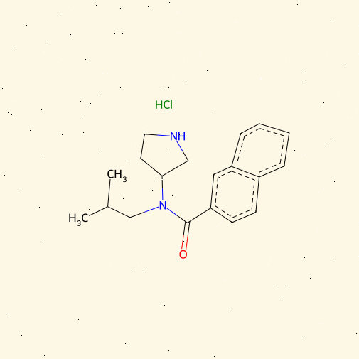 CC(C)CN(C(=O)c1ccc2ccccc2c1)C1CCNC1.Cl